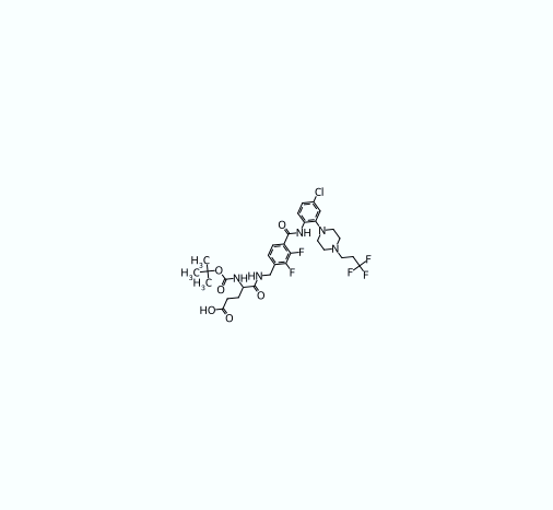 CC(C)(C)OC(=O)NC(CCC(=O)O)C(=O)NCc1ccc(C(=O)Nc2ccc(Cl)cc2N2CCN(CCC(F)(F)F)CC2)c(F)c1F